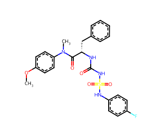 COc1ccc(N(C)C(=O)[C@H](Cc2ccccc2)NC(=O)NS(=O)(=O)Nc2ccc(F)cc2)cc1